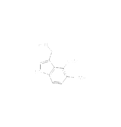 COc1ccc2[nH]cc(CN)c2c1OC